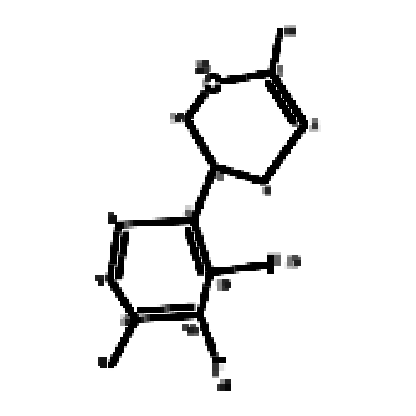 CC1=CCC(c2ccc(C)c(F)c2F)CO1